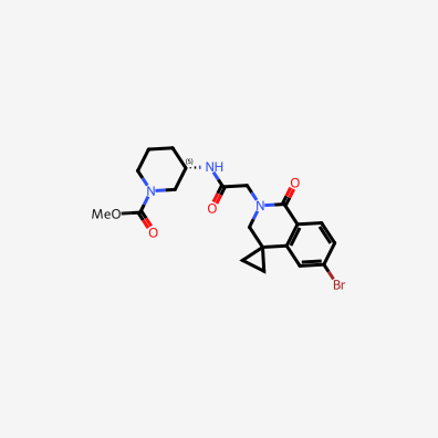 COC(=O)N1CCC[C@H](NC(=O)CN2CC3(CC3)c3cc(Br)ccc3C2=O)C1